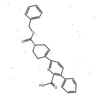 O=C(O)c1nc(C2=CCN(C(=O)OCc3ccccc3)CC2)ccc1-c1ccccc1